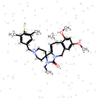 CCN1C(=O)N2Cc3cc(OC)cc(OC)c3[C@@H](C)C=C2C12CCN(Cc1cc(C)c(F)c(C)c1)CC2